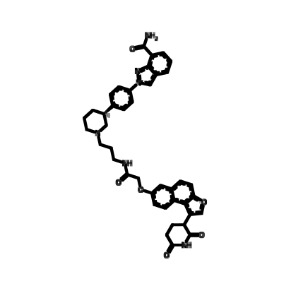 NC(=O)c1cccc2cn(-c3ccc([C@@H]4CCCN(CCCNC(=O)COc5ccc6c(ccc7occ(C8CCC(=O)NC8=O)c76)c5)C4)cc3)nc12